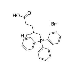 CC(CCC(=O)O)C[P+](c1ccccc1)(c1ccccc1)c1ccccc1.[Br-]